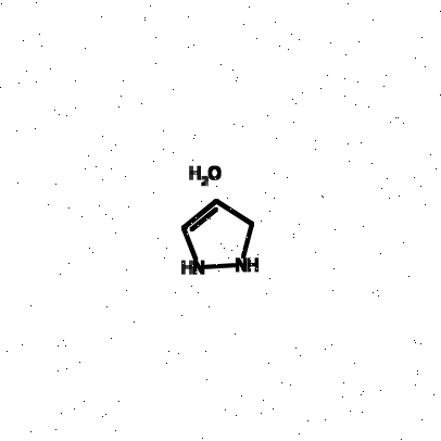 C1=CNNC1.O